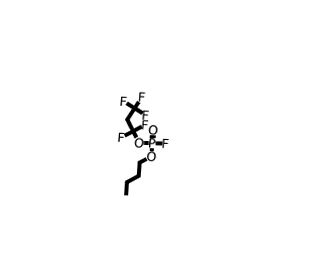 CCCCOP(=O)(F)OC(F)(F)CC(F)(F)F